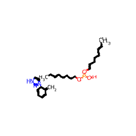 C=C1C=CC=CC1.CCCCCCCCOP(O)OCCCCCCCC.c1c[nH]nn1